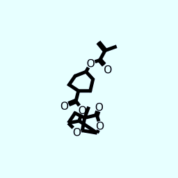 C=C(C)C(=O)OC1CCC(C(=O)OC2C3CC4(C)C(=O)OC2C4O3)CC1